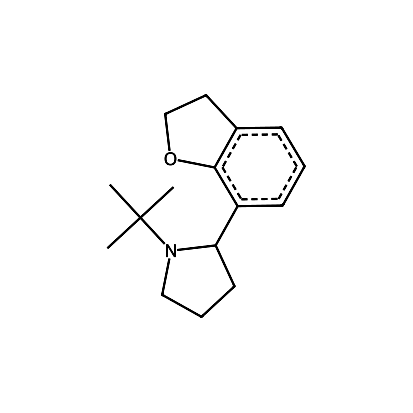 CC(C)(C)N1CCCC1c1cccc2c1OCC2